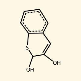 OC1=Cc2ccccc2SC1O